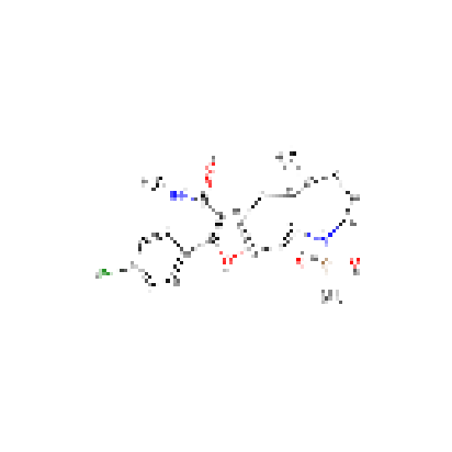 CNC(=O)c1c(-c2ccc(F)cc2)oc2cc3c(cc12)[C@H](C)CCCN3S(C)(=O)=O